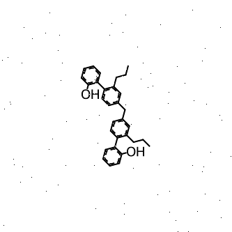 CCCc1cc(Cc2ccc(-c3ccccc3O)c(CCC)c2)ccc1-c1ccccc1O